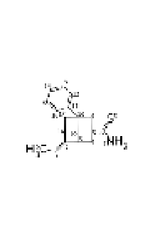 C/C=C1/C2CC3(C(N)=S)CC4(c5ccccc5)CC1C234